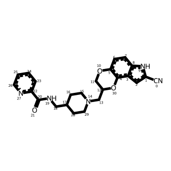 N#Cc1cc2c3c(ccc2[nH]1)OCC(CN1CCC(CNC(=O)c2ccccn2)CC1)O3